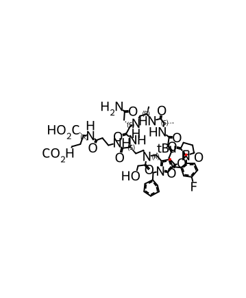 C[C@H](CN[C@@H](CC(N)=O)C(=O)N[C@@H](CCN(C(=O)CO)[C@@H](c1cc(-c2cc(F)ccc2F)cn1Cc1ccccc1)C(C)(C)C)C(=O)NCCC(=O)N[C@H](CCC(=O)O)C(=O)O)NC(=O)[C@H](C)NC(=O)CCCC(=O)ON1C(=O)CCC1=O